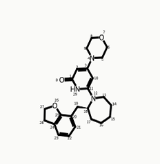 O=c1cc(N2CCOCC2)cc(N2CCCCC[C@H]2Cc2cccc3c2OCC3)[nH]1